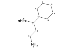 CCCCCCC(CCN)C1CCCCC1